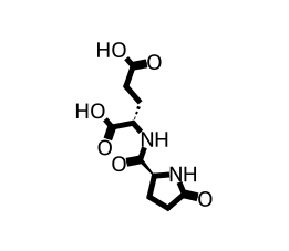 O=C(O)CC[C@H](NC(=O)[C@@H]1CCC(=O)N1)C(=O)O